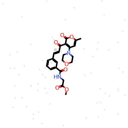 COC(=O)CNC(=O)c1cccc(/C=C/C(=O)c2c(N3CCOCC3)cc(C)oc2=O)c1